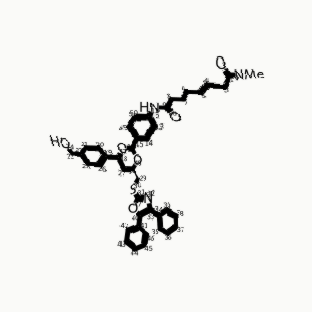 CNC(=O)CCCCCCC(=O)Nc1ccc(C2OC(c3ccc(CO)cc3)C[C@H](CSc3nc(-c4ccccc4)c(-c4ccccc4)o3)O2)cc1